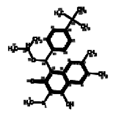 CSc1c(O)c2cc(C)c(C)cc2n(C(O[SiH](C)C)c2ccc(C(C)(C)C)cc2)c1=O